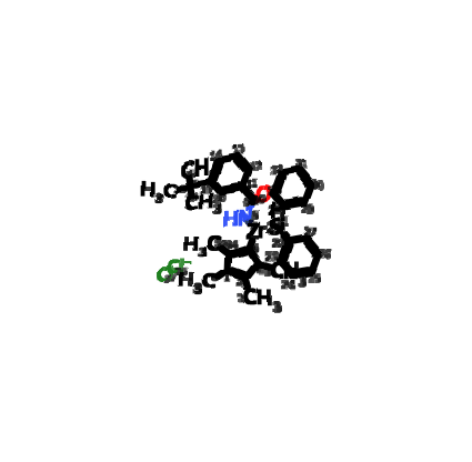 CC1=C(C)C(C)[C]([Zr+2]([NH]C(=O)c2cccc(C(C)(C)C)c2)[SiH](c2ccccc2)c2ccccc2)=C1C.[Cl-].[Cl-]